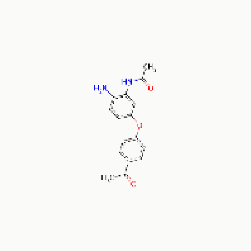 CC(=O)Nc1cc(Oc2ccc(C(C)=O)cc2)ccc1N